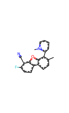 Cc1ccc2c(oc3c(C#N)c(F)ccc32)c1-c1cccc[n+]1C